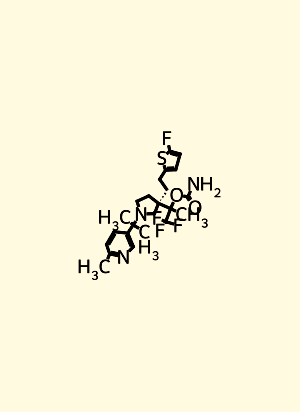 Cc1ccc(C(C)(C)N2CC[C@@](CCc3ccc(F)s3)(C(C)(OC(N)=O)C(F)(F)F)C2)cn1